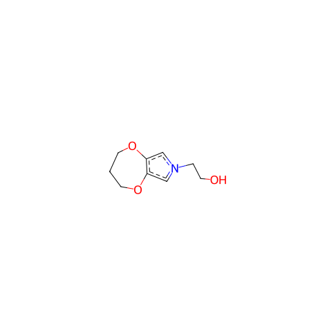 OCCn1cc2c(c1)OCCCO2